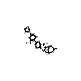 CC1C[C@@]2(C)C[C@H](Oc3cnc(-c4ccc(-n5ccnc5)cc4O)nn3)[C@@H](F)[C@@](C)(C1)N2